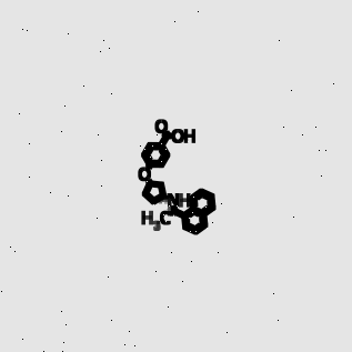 C[C@@H](N[C@@H]1CCC(Oc2ccc(C(=O)O)cc2)C1)c1cccc2ccccc12